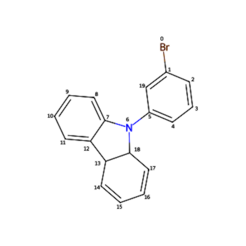 Brc1cccc(N2c3ccccc3C3C=CC=CC32)c1